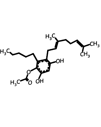 CCCCCc1c(C/C=C(\C)CCC=C(C)C)c(O)cc(O)c1OC(C)=O